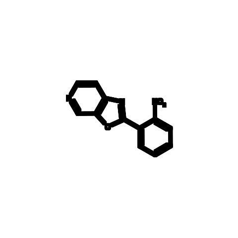 O=[N+]([O-])c1ccccc1-c1nc2ccncc2o1